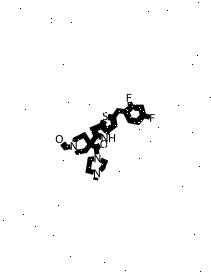 CN1CCN(C(=O)C2(c3cc4sc(Cc5ccc(F)cc5F)cc4[nH]3)CCN(C=O)CC2)CC1